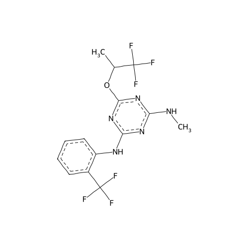 CNc1nc(Nc2ccccc2C(F)(F)F)nc(OC(C)C(F)(F)F)n1